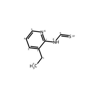 CCc1cccnc1NC=S